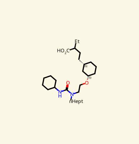 CCCCCCCN(CCO[C@H]1CCC[C@@H](CCC(CC)C(=O)O)C1)C(=O)NC1CCCCC1